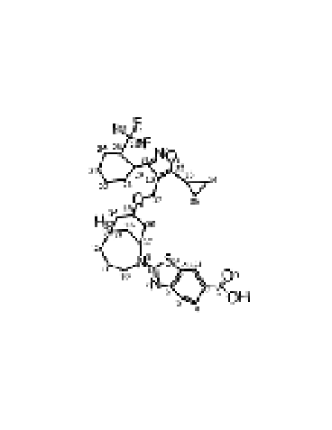 O=C(O)c1ccc2nc(N3CCC[C@H]4CC(OCc5c(C6CCCCC6C(F)(F)F)noc5C5CC5)CC3C4)sc2c1